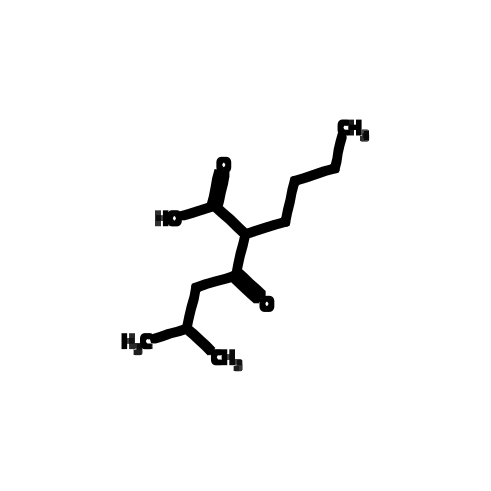 CCCCC(C(=O)O)C(=O)CC(C)C